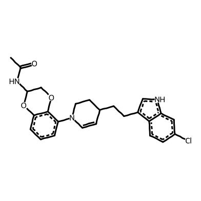 CC(=O)NC1COc2c(cccc2N2C=CC(CCc3c[nH]c4cc(Cl)ccc34)CC2)O1